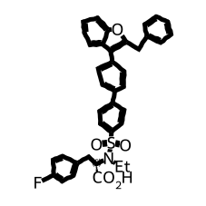 CCN([C@@H](Cc1ccc(F)cc1)C(=O)O)S(=O)(=O)c1ccc(-c2ccc(-c3c(Cc4ccccc4)oc4ccccc34)cc2)cc1